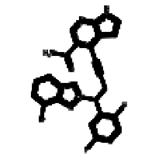 NC(=O)c1cnc2[nH]ccc2c1C#CCC(c1cc(F)ccc1F)n1cc2cccc(Br)c2n1